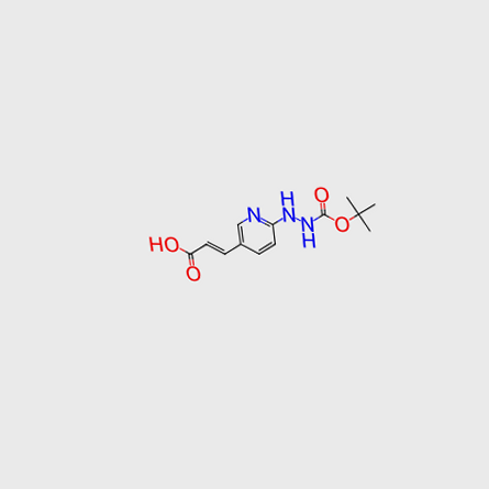 CC(C)(C)OC(=O)NNc1ccc(C=CC(=O)O)cn1